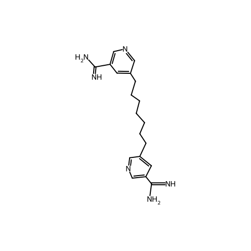 N=C(N)c1cncc(CCCCCCCc2cncc(C(=N)N)c2)c1